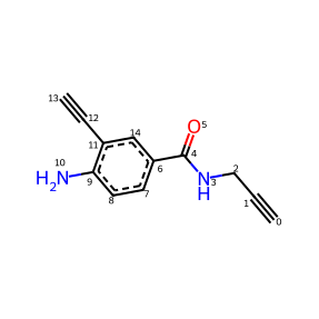 C#CCNC(=O)c1ccc(N)c(C#C)c1